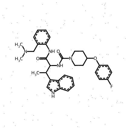 CC(c1c[nH]c2ccccc12)C(NC(=O)N1CCC(Oc2ccc(F)cc2)CC1)C(=O)Nc1ccccc1CN(C)C